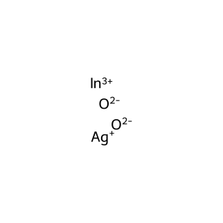 [Ag+].[In+3].[O-2].[O-2]